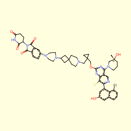 CCc1cccc2cc(O)cc(-c3ncc4c(N5CCC[C@@](C)(O)C5)nc(OCC5(CN6CCC7(CC6)CC(N6CCN(c8ccc9c(c8)C(=O)N(C8CCC(=O)NC8=O)C9=O)CC6)C7)CC5)nc4c3F)c12